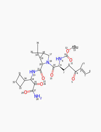 C/C=C(\C)C(=O)CC[C@H](NC(=O)OC(C)(C)C)C(=O)N1CC2C(C1C(=O)NC(C(=O)C(N)=O)C1CCC1)C2(C)C